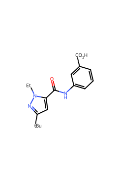 CCn1nc(C(C)(C)C)cc1C(=O)Nc1cccc(C(=O)O)c1